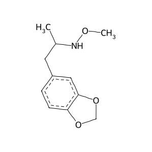 CONC(C)Cc1ccc2c(c1)OCO2